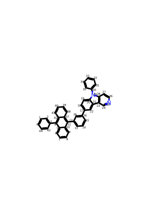 c1ccc(-c2c3ccccc3c(-c3cccc(-c4ccc5c(c4)c4cnccc4n5-c4ccccc4)c3)c3ccccc23)cc1